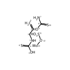 C=CCNC(O)=S.NC(O)=S.O=S(=O)(O)[O][Mo]